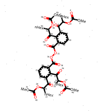 CCCCCCC(OC(=O)OC)C(=O)c1cccc(C(=O)OOC(=O)c2cccc(C(=O)C(CCCCCC)OC(=O)OC)c2C(=O)C(CCCCCC)OC(=O)OC)c1C(=O)C(CCCCCC)OC(=O)OC